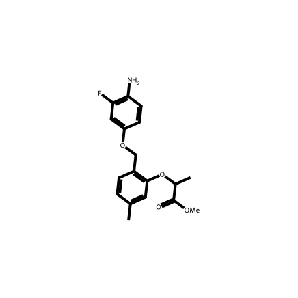 COC(=O)C(C)Oc1cc(C)ccc1COc1ccc(N)c(F)c1